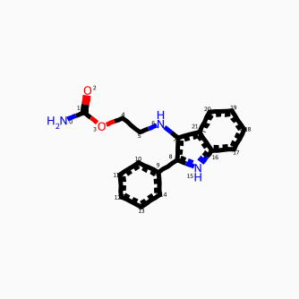 NC(=O)OCCNc1c(-c2ccccc2)[nH]c2ccccc12